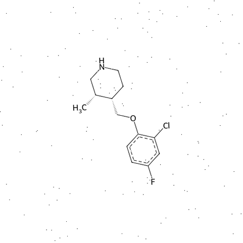 C[C@@H]1CNCC[C@@H]1COc1ccc(F)cc1Cl